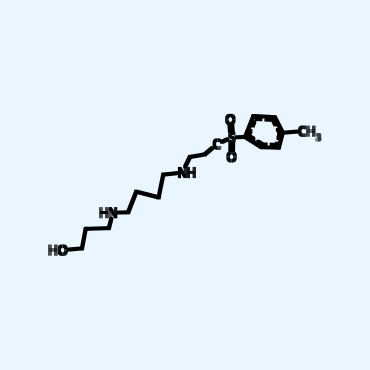 Cc1ccc(S(=O)(=O)CCCNCCCCNCCCO)cc1